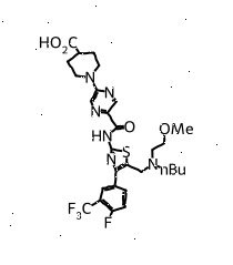 CCCCN(CCOC)Cc1sc(NC(=O)c2cnc(N3CCC(C(=O)O)CC3)cn2)nc1-c1ccc(F)c(C(F)(F)F)c1